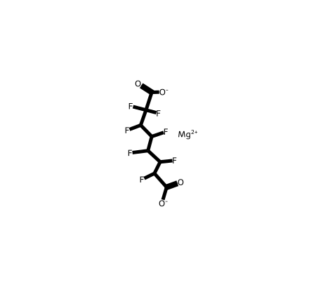 O=C([O-])C(F)C(F)C(F)C(F)C(F)C(F)(F)C(=O)[O-].[Mg+2]